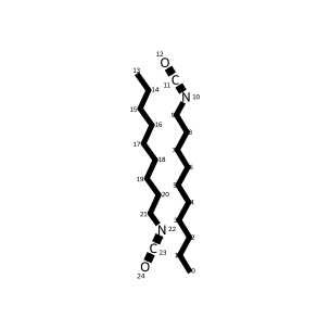 CCCCCCCCCCN=C=O.CCCCCCCCCN=C=O